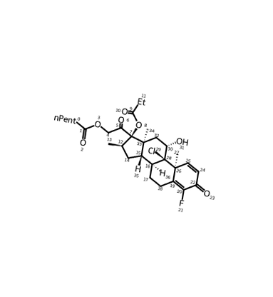 CCCCCC(=O)OCC(=O)[C@@]1(OC(=O)CC)[C@H](C)C[C@H]2[C@@H]3CCC4=C(F)C(=O)C=C[C@]4(C)[C@@]3(Cl)[C@@H](O)C[C@@]21C